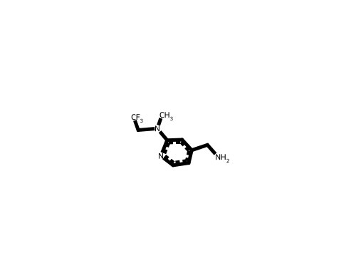 CN(CC(F)(F)F)c1cc(CN)ccn1